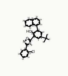 CC(C)(C)c1cc(-c2nc(-c3ccccc3Cl)no2)c(O)c(-c2cccc3ccccc23)c1